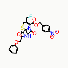 O=C(COc1ccccc1)NC1C(=O)N2C(C(=O)OCc3ccc([N+](=O)[O-])cc3)=C(CF)CS[C@@H]12